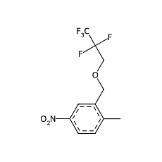 Cc1ccc([N+](=O)[O-])cc1COCC(F)(F)C(F)(F)F